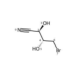 N#C[C@@H](O)[C@@H](O)CBr